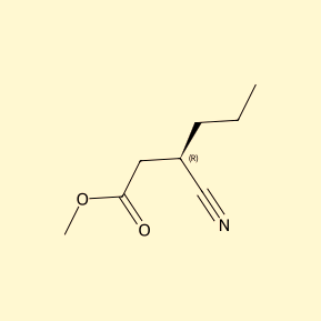 CCC[C@@H](C#N)CC(=O)OC